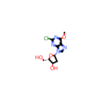 COc1nc(Cl)nc2c1ncn2[C@H]1C[C@@H](O)[C@H](CO)O1